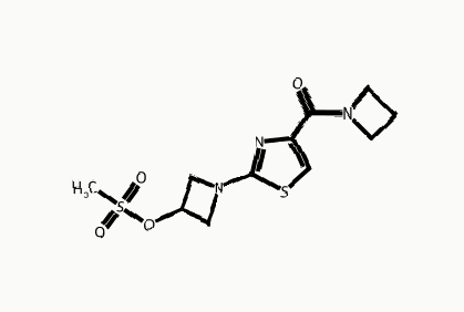 CS(=O)(=O)OC1CN(c2nc(C(=O)N3CCC3)cs2)C1